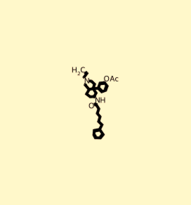 C=CCN1CCC2(c3cccc(OC(C)=O)c3)CC(NC(=O)CCCCCc3ccccc3)CCC2C1